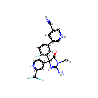 CN1C(=O)C(c2ccnc(C(F)F)c2)(c2cc(-c3cncc(C#N)c3)ccc2F)N=C1N